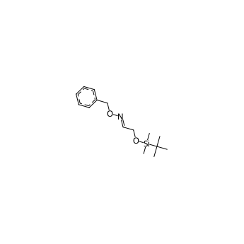 CC(C)(C)[Si](C)(C)OCC=NOCc1ccccc1